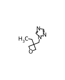 CCC1(Cn2cncn2)COC1